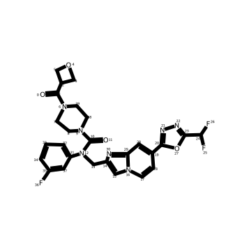 O=C(C1COC1)N1CCN(C(=O)N(Cc2cn3ccc(-c4nnc(C(F)F)o4)cc3n2)c2cccc(F)c2)CC1